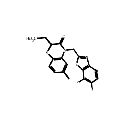 Cc1ccc2c(c1)N(Cc1nc3ccc(F)c(F)c3s1)C(=O)C(CC(=O)O)S2